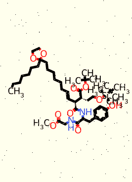 CCCCCCCC1(CCCCCC/C=C/[C@H](C(=O)NC(Cc2ccc(O)cc2)C(=O)NCC(=O)OC)[C@@H](CCO[Si](C)(C)C(C)(C)C)C(=O)OC(C)(C)C)OCCO1